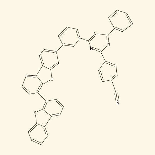 N#Cc1ccc(-c2nc(-c3ccccc3)nc(-c3cccc(-c4ccc5c(c4)oc4c(-c6cccc7c6sc6ccccc67)cccc45)c3)n2)cc1